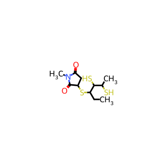 CCC(SC1CC(=O)N(C)C1=O)C(S)C(C)S